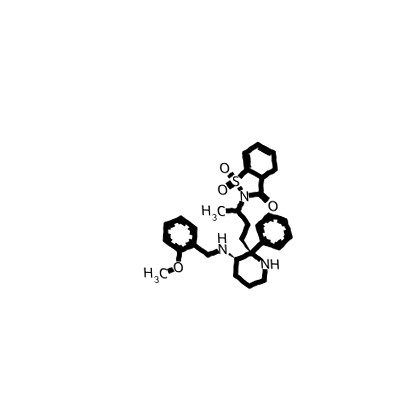 COc1ccccc1CN[C@H]1CCCN[C@@]1(CCC(C)N1C(=O)C2CC=CC=C2S1(=O)=O)c1ccccc1